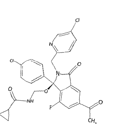 CC(=O)c1cc(F)c2c(c1)C(=O)N(Cc1ccc(Cl)cn1)[C@@]2(OCNC(=O)C1CC1)c1ccc(Cl)cc1